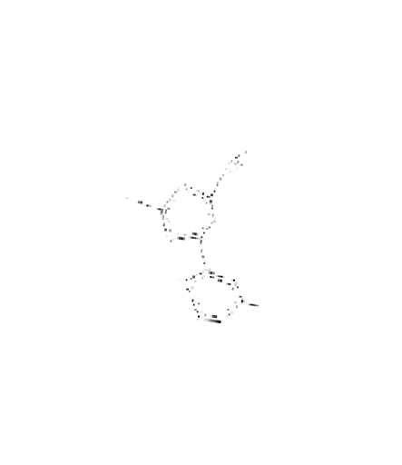 Cc1nc(C#N)cc(-c2cccc(F)c2)n1